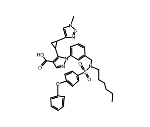 CCCCCCN(Cc1cccc(-n2ncc(C(=O)O)c2C2CC2c2cn(C)nn2)c1)S(=O)(=O)c1ccc(Oc2ccccc2)cc1